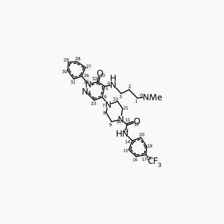 CNCCCNc1c(N2CCN(C(=O)Nc3ccc(C(F)(F)F)cc3)CC2)cnn(-c2ccccc2)c1=O